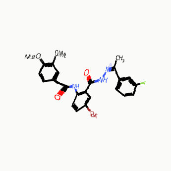 COc1ccc(C(=O)Nc2ccc(Br)cc2C(=O)N/N=C(/C)c2cccc(F)c2)cc1OC